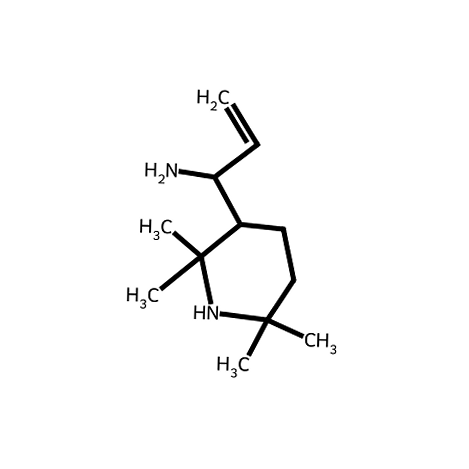 C=CC(N)C1CCC(C)(C)NC1(C)C